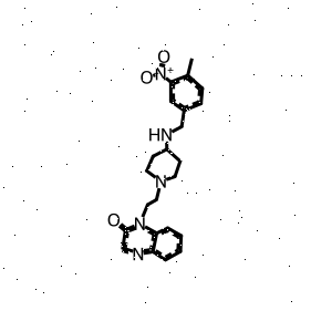 Cc1ccc(CNC2CCN(CCn3c(=O)cnc4ccccc43)CC2)cc1[N+](=O)[O-]